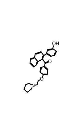 O=C(c1ccc(OCCN2CCCCC2)cc1)c1c(-c2cccc(O)c2)ccc2ccccc12